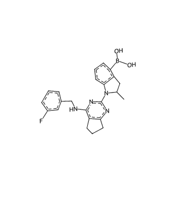 CC1Cc2c(B(O)O)cccc2N1c1nc2c(c(NCc3cccc(F)c3)n1)CCC2